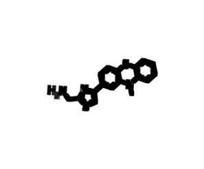 CN1c2ccccc2Sc2ccc(-c3csc(CN)n3)cc21